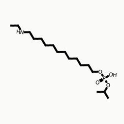 CCNCCCCCCCCCCCCOP(=O)(O)OC(C)C